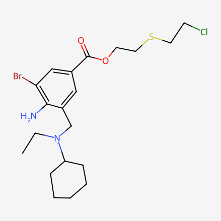 CCN(Cc1cc(C(=O)OCCSCCCl)cc(Br)c1N)C1CCCCC1